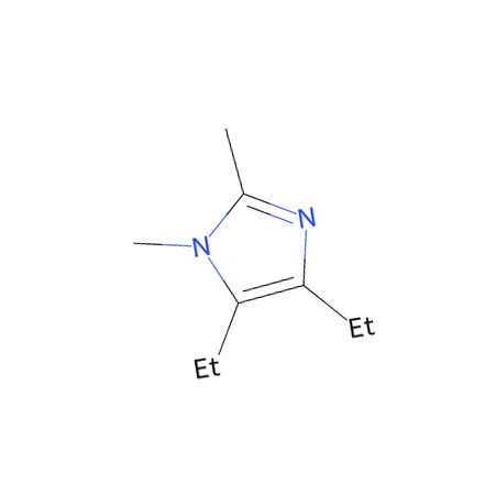 CCc1nc(C)n(C)c1CC